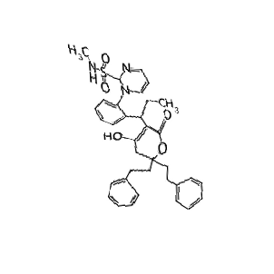 CCC(C1=C(O)CC(CCc2ccccc2)(CCc2ccccc2)OC1=O)c1ccccc1N1C=CC=NC1S(=O)(=O)NC